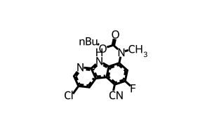 CCCCOC(=O)N(C)c1cc(F)c(C#N)c2c1[nH]c1ncc(Cl)cc12